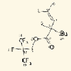 CC(C)=CC(C)(C(=O)OCC(F)(C(F)(F)F)C(F)(F)F)C(C)(C)C